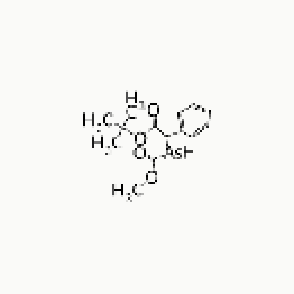 COC(=O)[AsH]C(C(=O)OC(C)(C)C)c1ccccc1